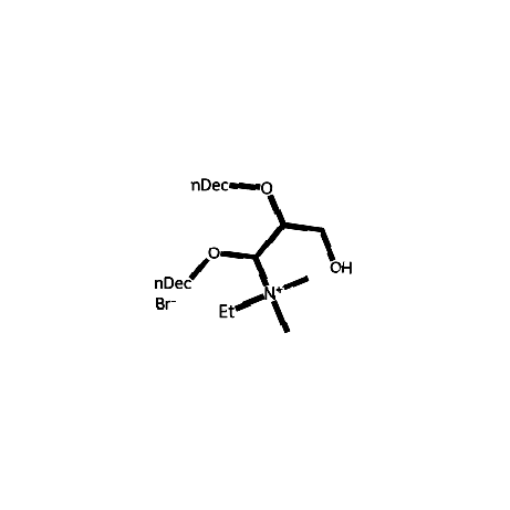 CCCCCCCCCCOC(CO)C(OCCCCCCCCCC)[N+](C)(C)CC.[Br-]